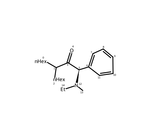 CCCCCCC(CCCCCC)C(=O)[C@@H](c1ccccc1)N(C)CC